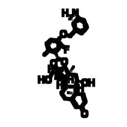 Cc1ccc(OCc2cccc(N)c2)c(F)c1[C@H]1O[C@@H]2C[C@H]3[C@@H]4CCC5=CC(=O)C=C[C@]5(C)[C@H]4[C@@H](O)C[C@]3(C)[C@]2(C(=O)CO)O1